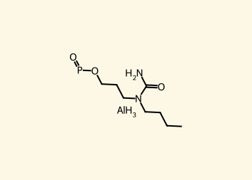 CCCCN(CCCOP=O)C(N)=O.[AlH3]